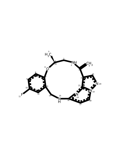 C=C1NC[C@H](C)Oc2ccc(F)cc2CNc2ccn3ncc1c3n2